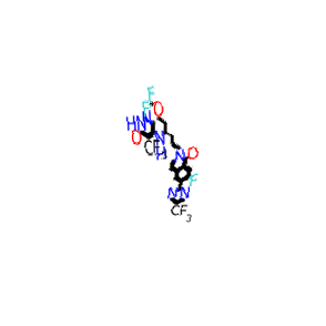 O=c1[nH]ncc(N[C@H](CCCn2ccc3cc(-c4ncc(C(F)(F)F)cn4)c(F)cc3c2=O)CCOC(F)F)c1C(F)(F)F